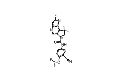 CC1(C)C[C@@H](C(=O)Nc2cnc(OC(F)F)c(C#N)n2)c2cnc3cc(F)nn3c21